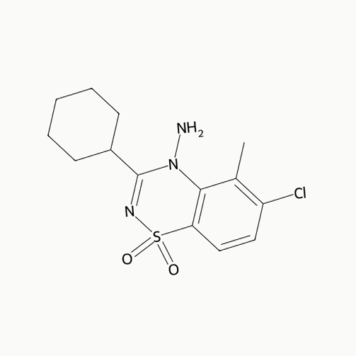 Cc1c(Cl)ccc2c1N(N)C(C1CCCCC1)=NS2(=O)=O